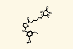 COc1cc(NC2CCN(C(=O)CCCCC[C@H]3NC(=O)N[C@H]3C)C2)cc(OC)c1